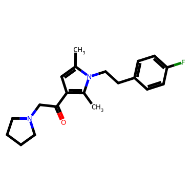 Cc1cc(C(=O)CN2CCCC2)c(C)n1CCc1ccc(F)cc1